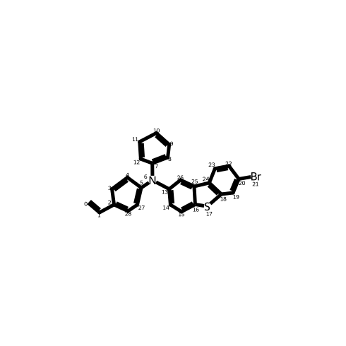 C=Cc1ccc(N(c2ccccc2)c2ccc3sc4cc(Br)ccc4c3c2)cc1